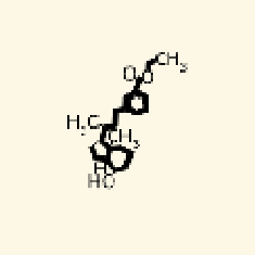 CCOC(=O)c1cccc(/C=C/[C@@H](C)[C@H]2CC[C@H]3[C@@H](O)CCC[C@]23C)c1